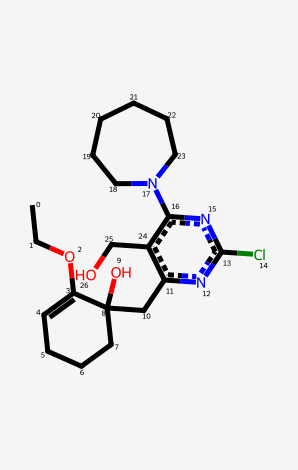 CCOC1=CCCCC1(O)Cc1nc(Cl)nc(N2CCCCCC2)c1CO